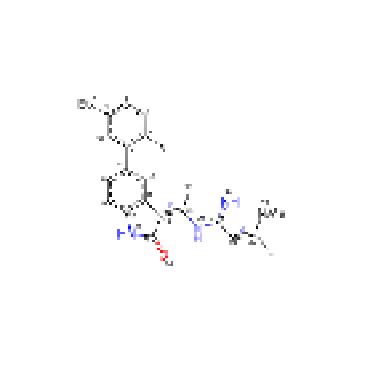 CCc1ccc(C)c(-c2ccc3c(c2)/C(=C(\C)NC(=N)/C=C(/C)NC)C(=O)N3)c1